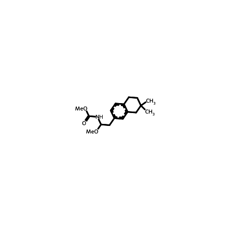 COC(=O)NC(Cc1ccc2c(c1)CC(C)(C)CC2)OC